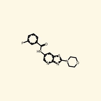 O=C(Nc1cnc2nc(N3CCOCC3)sc2c1)c1cccc(F)c1